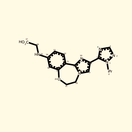 CC(C)n1ncnc1-c1cn2c(n1)-c1ccc(NCC(=O)O)cc1OCC2